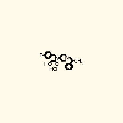 CC(CN1CCC(N(Cc2ccc(F)cc2)C(=O)CO)CC1)c1ccccc1.Cl